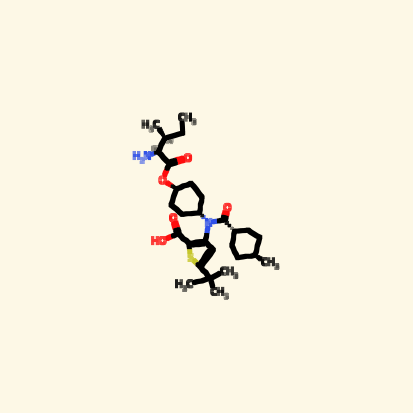 CC[C@H](C)[C@H](N)C(=O)O[C@H]1CC[C@H](N(c2cc(C(C)(C)C)sc2C(=O)O)C(=O)[C@H]2CC[C@H](C)CC2)CC1